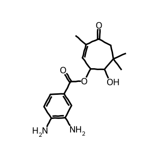 CC1=CC(OC(=O)c2ccc(N)c(N)c2)C(O)C(C)(C)CC1=O